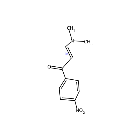 CN(C)/C=C/C(=O)c1ccc([N+](=O)[O-])cc1